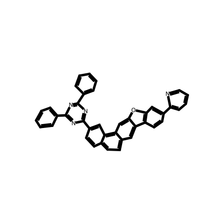 c1ccc(-c2nc(-c3ccccc3)nc(-c3ccc4ccc5cc6c(cc5c4c3)oc3cc(-c4ccccn4)ccc36)n2)cc1